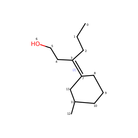 CCC/C(CCO)=C1\CCCC(C)C1